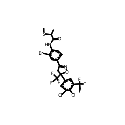 CSC(C)C(=O)Nc1ccc(C2=NOC(c3cc(Cl)c(Cl)c(C(F)(F)F)c3)(C(F)(F)F)C2)cc1Br